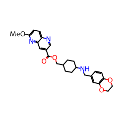 COc1ccc2ncc(C(=O)OCC3CCC(NCc4ccc5c(c4)OCCO5)CC3)cc2n1